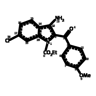 CCOC(=O)n1c(C(=O)c2ccc(OC)cc2)c(N)c2ccc(Cl)cc21